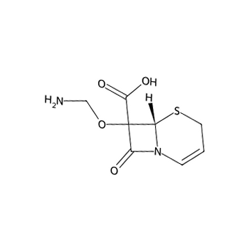 NCOC1(C(=O)O)C(=O)N2C=CCS[C@H]21